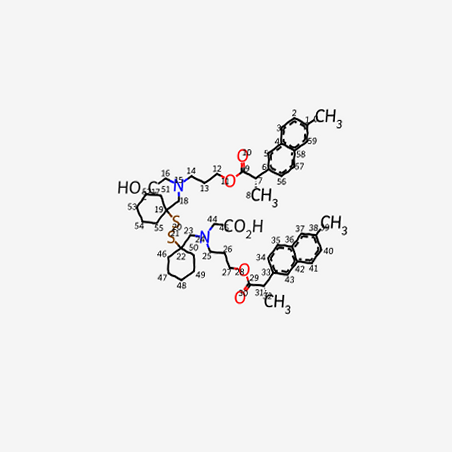 Cc1ccc2cc([C@H](C)C(=O)OCCCN(CC(=O)O)CC3(SSC4(CN(CCCOC(=O)[C@@H](C)c5ccc6cc(C)ccc6c5)CC(=O)O)CCCCC4)CCCCC3)ccc2c1